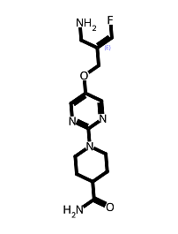 NC/C(=C\F)COc1cnc(N2CCC(C(N)=O)CC2)nc1